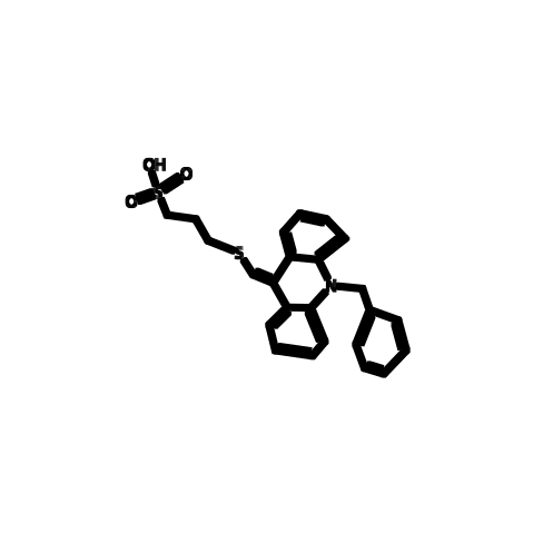 O=S(=O)(O)CCCSC=C1c2ccccc2N(Cc2ccccc2)c2ccccc21